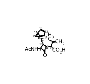 C=C(C)C(C(=O)O)N1C(=O)C(NC(C)=O)C1F.c1cc2cc-2c1